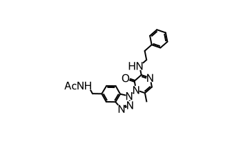 CC(=O)NCc1ccc2c(c1)nnn2-n1c(C)cnc(NCCc2ccccc2)c1=O